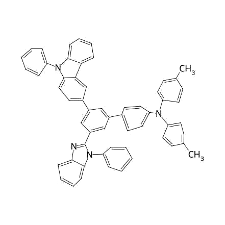 Cc1ccc(N(c2ccc(C)cc2)c2ccc(-c3cc(-c4ccc5c(c4)c4ccccc4n5-c4ccccc4)cc(-c4nc5ccccc5n4-c4ccccc4)c3)cc2)cc1